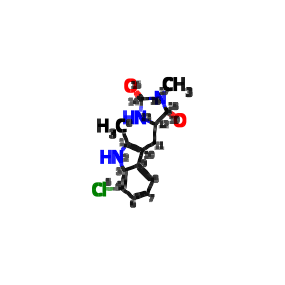 Cc1[nH]c2c(Cl)cccc2c1CC1NC(=O)N(C)C1=O